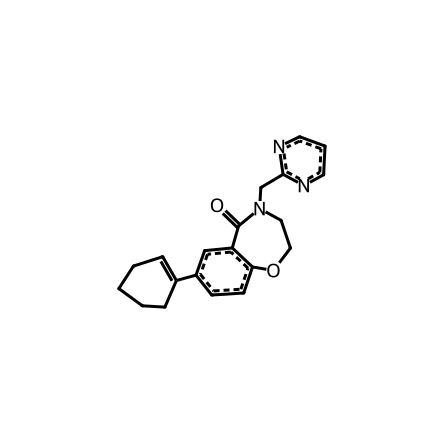 O=C1c2cc(C3=CCCCC3)ccc2OCCN1Cc1ncccn1